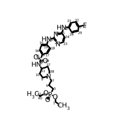 CCOP(=O)(CCCN1CCC(NS(=O)(=O)c2ccc(Nc3nccc(Nc4ccc(F)cc4)n3)cc2)CC1)OCC